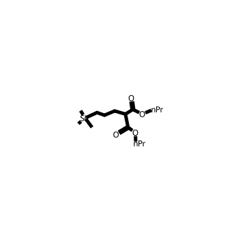 CCCOC(=O)C(CCC[Si](C)(C)C)C(=O)OCCC